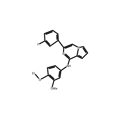 CCOc1ccc(Nc2nc(-c3cccc(F)c3)cn3cccc23)cc1OC